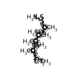 CCCCC(CC)COc1cc(C)cc(C(=O)Oc2c(C)cc(-c3cc(C)c(OC(=O)c4cc(C)cc(OCC(CC)CCCC)c4)c(C)c3)cc2C)c1